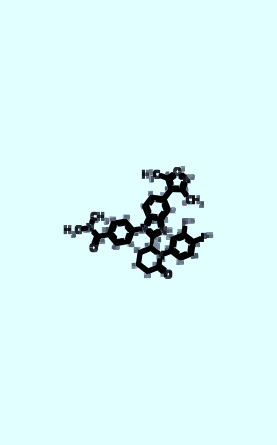 Cc1noc(C)c1-c1ccc2c(c1)nc([C@@H]1CCCC(=O)N1c1ccc(F)c(F)c1)n2-c1ccc(C(=O)N(C)C)cc1